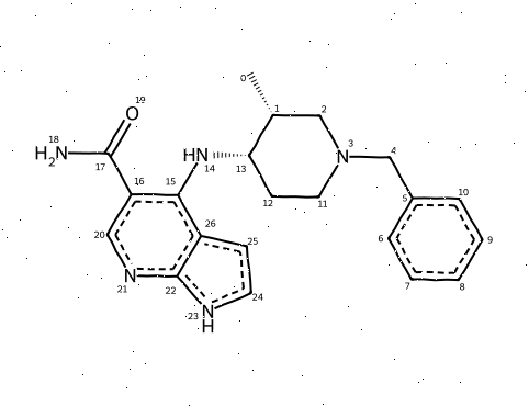 C[C@@H]1CN(Cc2ccccc2)CC[C@@H]1Nc1c(C(N)=O)cnc2[nH]ccc12